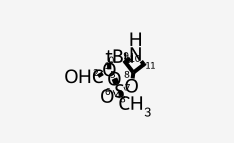 CC(C)(C)OC=O.CS(=O)(=O)OC1CNC1